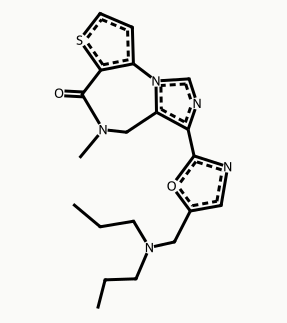 CCCN(CCC)Cc1cnc(-c2ncn3c2CN(C)C(=O)c2sccc2-3)o1